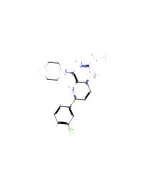 Nc1nc(N2CCOCC2)c2nc(-c3ccc(F)c(F)c3)ccc2n1